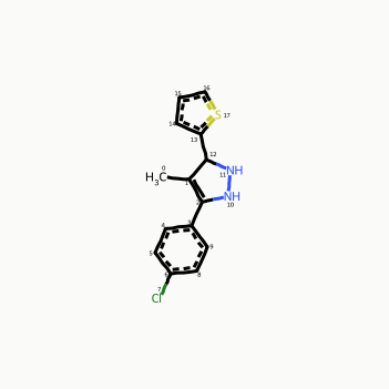 CC1=C(c2ccc(Cl)cc2)NNC1c1cccs1